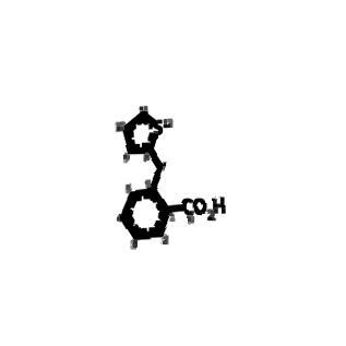 O=C(O)c1ccccc1Cc1cccs1